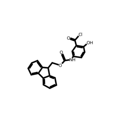 O=C(Nc1ccc(O)c(C(=O)Cl)c1)OCC1c2ccccc2-c2ccccc21